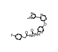 Cn1cc(-c2cc(Oc3ccc(NC(=O)NC(=O)Cc4ccc(F)cc4)nc3)ccn2)cn1